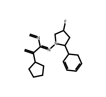 C=N/C(=N\N1CC(F)CC1C1C=CC=CC1)C(=C)C1CCCC1